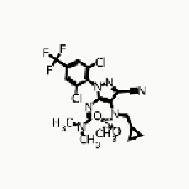 CN(C)/C=N/c1c(N(CC2CC2)S(C)(=O)=O)c(C#N)nn1-c1c(Cl)cc(C(F)(F)F)cc1Cl